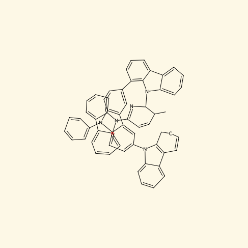 CC1C=CC(n2c3ccccc3c3ccccc32)=NC1n1c2ccccc2c2cccc(-c3ccc4c(c3)c3cc(-n5c6c(c7ccccc75)C=CCC6)ccc3n4-c3ccccc3)c21